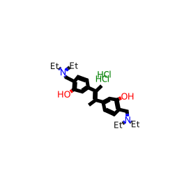 CCN(CC)Cc1ccc(/C(C)=C(\C)c2ccc(CN(CC)CC)c(O)c2)cc1O.Cl.Cl